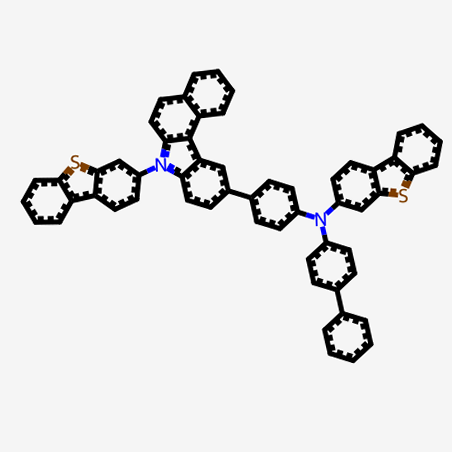 c1ccc(-c2ccc(N(c3ccc(-c4ccc5c(c4)c4c6ccccc6ccc4n5-c4ccc5c(c4)sc4ccccc45)cc3)c3ccc4c(c3)sc3ccccc34)cc2)cc1